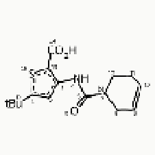 CC(C)(C)c1cc(NC(=O)[C@@H]2CC=CCC2)c(C(=O)O)s1